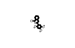 COc1cc(OC)c(-c2cc3ccccc3c(Cl)n2)cc1OC